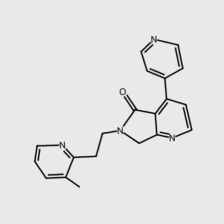 Cc1cccnc1CCN1Cc2nccc(-c3ccncc3)c2C1=O